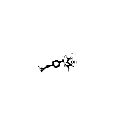 CN1CC1C#Cc1ccc(C(=O)N[C@H](C(=O)NO)[C@](C)(O)C(F)F)cc1